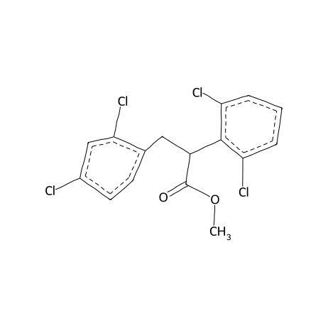 COC(=O)C(Cc1ccc(Cl)cc1Cl)c1c(Cl)cccc1Cl